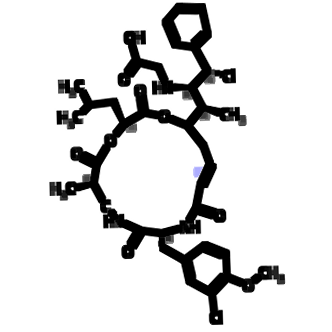 COc1ccc(C[C@H]2NC(=O)/C=C/CC([C@H](C)[C@@H](NCC(=O)O)[C@@H](Cl)c3ccccc3)OC(=O)[C@H](CC(C)C)OC(=O)[C@H](C)CNC2=O)cc1Cl